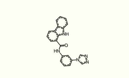 O=C(Nc1cccc(-n2cnnc2)c1)c1cccc2c1[nH]c1ccccc12